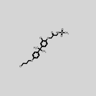 CC(C)(c1ccc(OCCCCl)cc1)c1ccc(OCC(=O)CNS(C)(=O)=O)c(Cl)c1